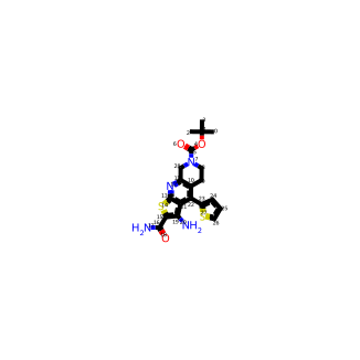 CC(C)(C)OC(=O)N1CCc2c(nc3sc(C(N)=O)c(N)c3c2-c2cccs2)C1